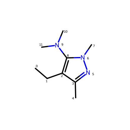 CCc1c(C)nn(C)c1N(C)C